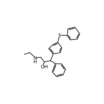 CCNCC(O)C(c1ccccc1)c1ccc(Sc2ccccc2)cc1